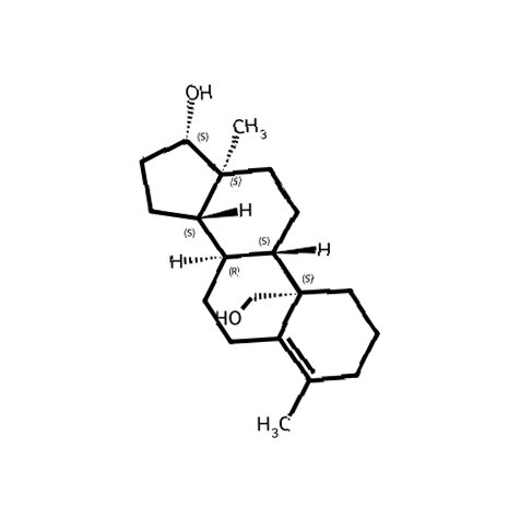 CC1=C2CC[C@@H]3[C@H](CC[C@]4(C)[C@@H](O)CC[C@@H]34)[C@@]2(CO)CCC1